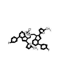 Cc1ccc(C2=Cc3c(-c4ccc(F)cc4)cccc3C2C[SiH](CC2C(c3ccc(C)o3)=Cc3c(-c4ccc(F)cc4)cccc32)[Zr]([Cl])[Cl])o1